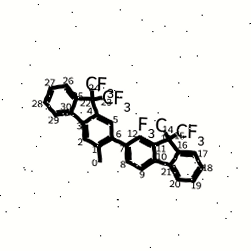 Cc1cc2c(cc1-c1ccc3c(c1)C(C(F)(F)F)(C(F)(F)F)c1ccccc1-3)C(C(F)(F)F)(C(F)(F)F)c1ccccc1-2